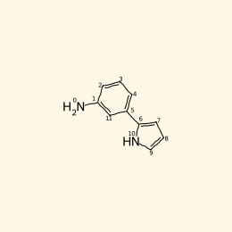 Nc1cccc(-c2ccc[nH]2)c1